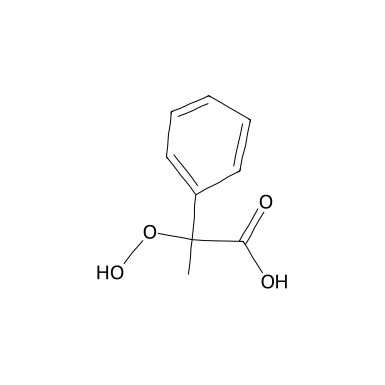 CC(OO)(C(=O)O)c1ccccc1